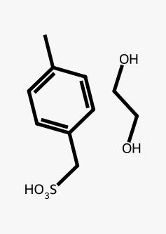 Cc1ccc(CS(=O)(=O)O)cc1.OCCO